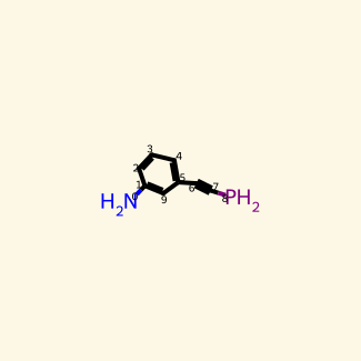 Nc1cccc(C#CP)c1